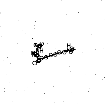 COc1ccc(CNc2cnnc3cc(-c4cc(Cl)ccc4OCCOCCOCCOCCOCCOCCNC(=O)OC(C)(C)C)ccc23)c(OC)c1